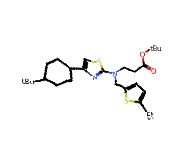 CCc1ccc(CN(CCC(=O)OC(C)(C)C)c2nc(C3CCC(C(C)(C)C)CC3)cs2)s1